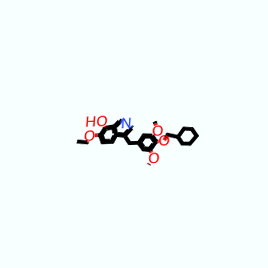 CCOc1ccc2c(Cc3cc(OC)c(OCC4CCCCC4)c(OC)c3)cncc2c1O